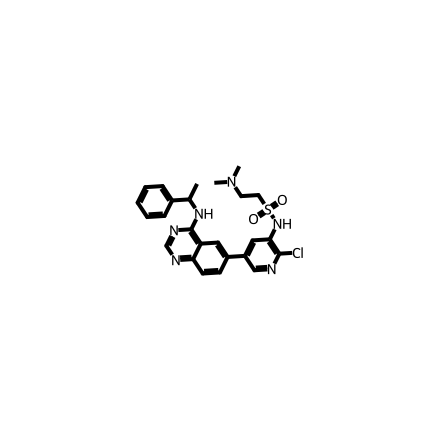 CC(Nc1ncnc2ccc(-c3cnc(Cl)c(NS(=O)(=O)CCN(C)C)c3)cc12)c1ccccc1